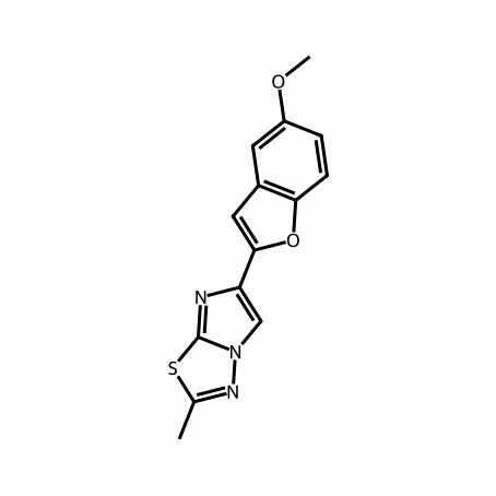 COc1ccc2oc(-c3cn4nc(C)sc4n3)cc2c1